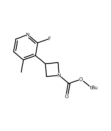 Cc1ccnc(F)c1C1CN(C(=O)OC(C)(C)C)C1